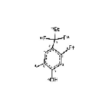 CCc1cc(O)c(C)cc1C(F)(F)CC